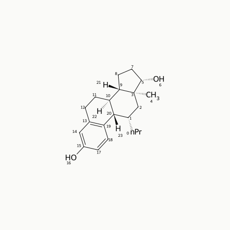 CCC[C@H]1C[C@]2(C)[C@@H](O)CC[C@H]2[C@@H]2CCc3cc(O)ccc3[C@@H]12